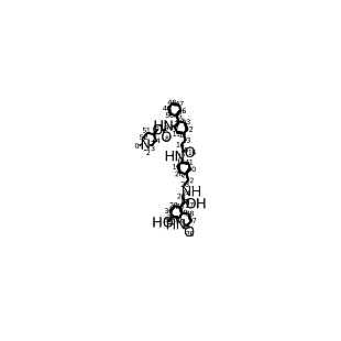 C[N+]1(C)CCC(OC(=O)Nc2cc(CCC(=O)Nc3ccc(CCNC[C@H](O)c4ccc(O)c5[nH]c(=O)ccc45)cc3)ccc2-c2ccccc2)CC1